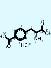 Cl.N[C@@H](Cc1ccc(C(=O)O)cc1)C(=O)O